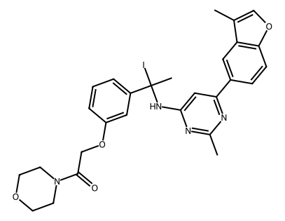 Cc1nc(NC(C)(I)c2cccc(OCC(=O)N3CCOCC3)c2)cc(-c2ccc3occ(C)c3c2)n1